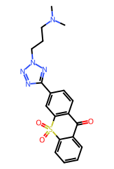 CN(C)CCCn1nnc(-c2ccc3c(c2)S(=O)(=O)c2ccccc2C3=O)n1